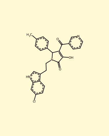 Cc1ccc(C2C(C(=O)c3cccnc3)=C(O)C(=O)N2CCc2c[nH]c3cc(Cl)ccc23)cc1